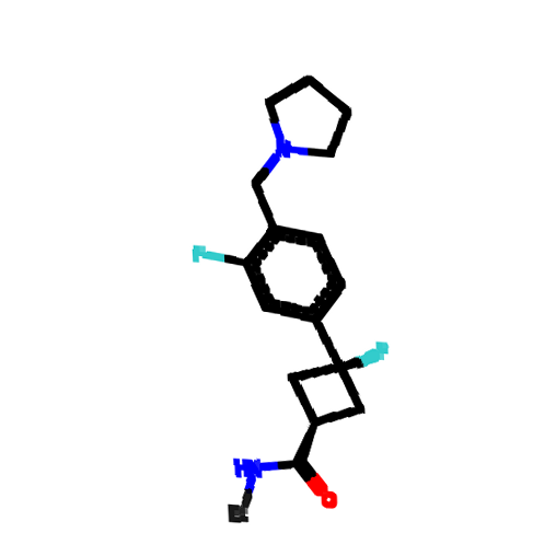 CCNC(=O)[C@H]1C[C@](F)(c2ccc(CN3CCCC3)c(F)c2)C1